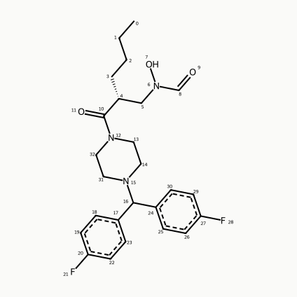 CCCC[C@H](CN(O)C=O)C(=O)N1CCN(C(c2ccc(F)cc2)c2ccc(F)cc2)CC1